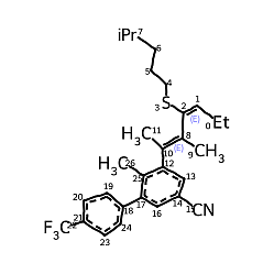 CC/C=C(SCCCC(C)C)\C(C)=C(/C)c1cc(C#N)cc(-c2ccc(C(F)(F)F)cc2)c1C